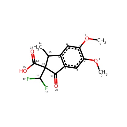 COc1cc2c(cc1OC)C(C)C(C(=O)O)(C(F)F)C2=O